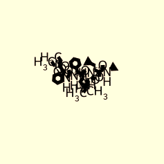 CCN(CC)S(=O)(=O)CC1(NC(=O)N[C@H](C(=O)N2C[C@H]3[C@@H]([C@H]2C(=O)N[C@@H](CC2CC2)C(=O)C(=O)NC2CC2)C3(C)C)C2CCCCC2)CCCCC1